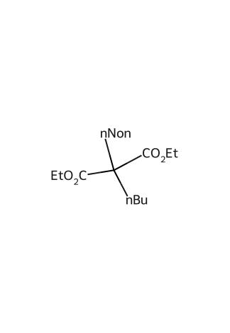 CCCCCCCCCC(CCCC)(C(=O)OCC)C(=O)OCC